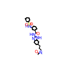 CC(=O)N(C)CCCc1ccc2nc(NC(=O)c3cccc(NS(=O)(=O)c4ccccc4)c3)[nH]c2c1